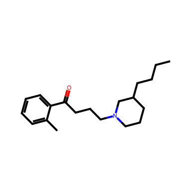 CCCCC1CCCN(CCCC(=O)c2ccccc2C)C1